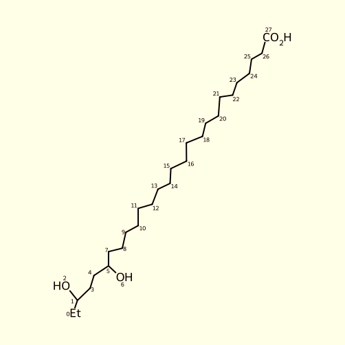 CCC(O)CCC(O)CCCCCCCCCCCCCCCCCCCCC(=O)O